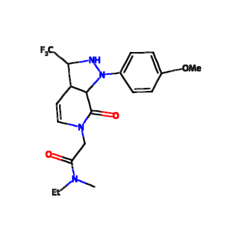 CCN(C)C(=O)CN1C=CC2C(C1=O)N(c1ccc(OC)cc1)NC2C(F)(F)F